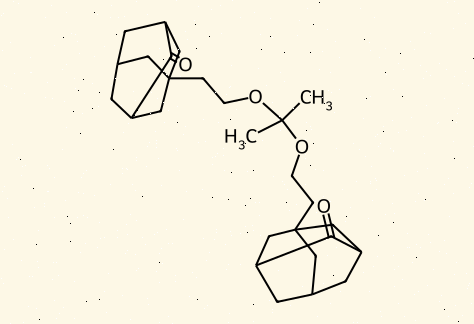 CC(C)(OCCC12CC3CC(C1)C(=O)C(C3)C2)OCCC12CC3CC(C1)C(=O)C(C3)C2